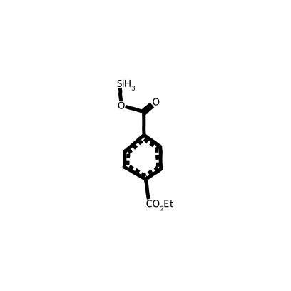 CCOC(=O)c1ccc(C(=O)O[SiH3])cc1